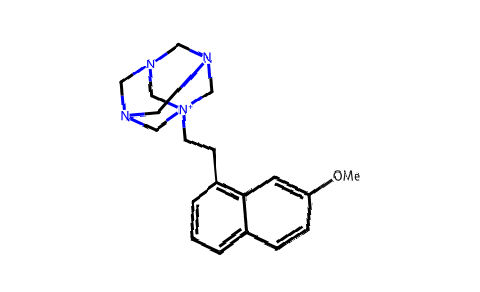 COc1ccc2cccc(CC[N+]34CN5CN(CN(C5)C3)C4)c2c1